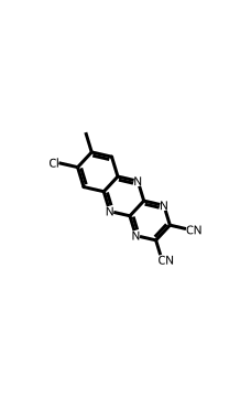 Cc1cc2nc3nc(C#N)c(C#N)nc3nc2cc1Cl